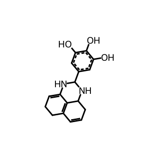 Oc1cc(C2NC3=CCCC4=C3C(CC=C4)N2)cc(O)c1O